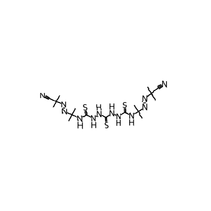 CC(C)(C#N)N=NC(C)(C)NC(=S)NNC(=S)NNC(=S)NC(C)(C)N=NC(C)(C)C#N